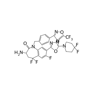 NC1CC(F)(F)c2cc(F)c(-c3nnc(N4CCC(F)(F)CC4)o3)cc2N(Cc2ccc(-c3noc(C(F)(F)F)n3)cc2)C1=O